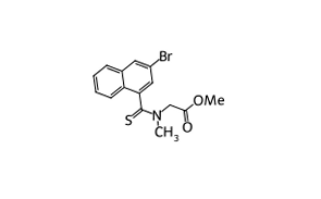 COC(=O)CN(C)C(=S)c1cc(Br)cc2ccccc12